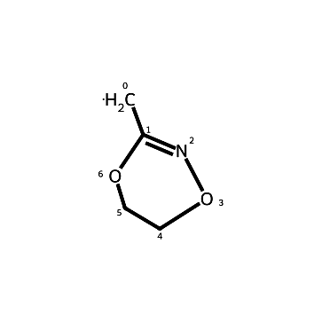 [CH2]C1=NOCCO1